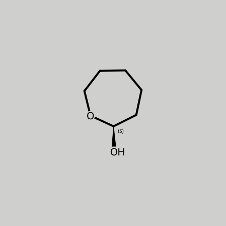 O[C@@H]1CCCCCO1